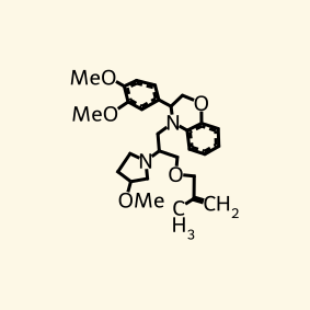 C=C(C)COCC(CN1c2ccccc2OCC1c1ccc(OC)c(OC)c1)N1CCC(OC)C1